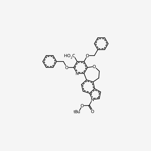 CC(C)(C)OC(=O)n1ccc2c3c(ccc21)-c1nc(OCc2ccccc2)c(C(=O)O)c(OCc2ccccc2)c1OCC3